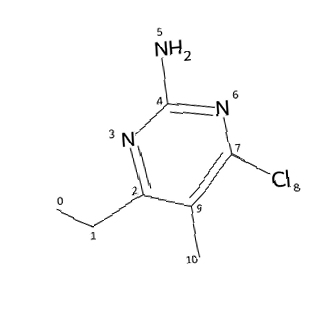 CCc1nc(N)nc(Cl)c1C